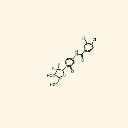 O=C(Nc1ccn(C2O[C@H](CO)[C@@H](O)C2(F)F)c(=O)n1)c1ccc(Cl)c(Cl)c1